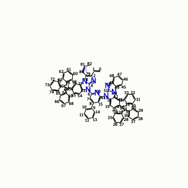 C=Cc1nc2n(-c3cc(-c4ccccc4)cc(-n4c5ccc([Si](c6ccccc6)(c6ccccc6)c6ccccc6)cc5n5c6ccccc6nc45)n3)c3ccc([Si](c4ccccc4)(c4ccccc4)c4ccccc4)cc3n2c1/C=C\C